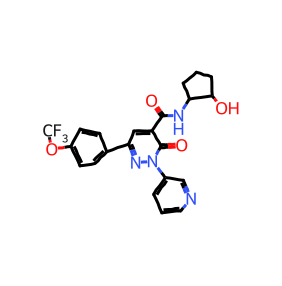 O=C(NC1CCCC1O)c1cc(-c2ccc(OC(F)(F)F)cc2)nn(-c2cccnc2)c1=O